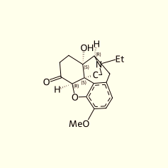 CCN1CC[C@]23c4c5ccc(OC)c4O[C@H]2C(=O)CC[C@@]3(O)[C@H]1C5